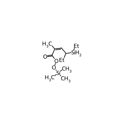 CC[SiH2]C(C=C(C)C(=O)OO[Si](C)(C)C)CC